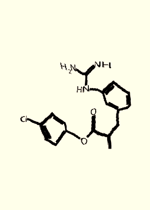 CC(Cc1cccc(NC(=N)N)c1)C(=O)Oc1ccc(Cl)cc1